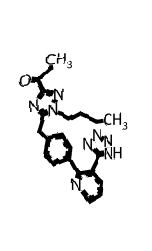 CCCCn1nc(C(=O)CC)nc1Cc1ccc(-c2ncccc2-c2nnn[nH]2)cc1